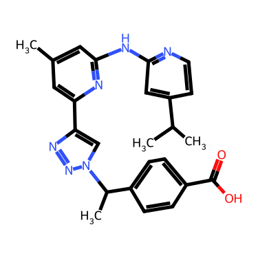 Cc1cc(Nc2cc(C(C)C)ccn2)nc(-c2cn(C(C)c3ccc(C(=O)O)cc3)nn2)c1